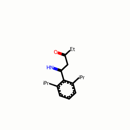 CCC(=O)CC(=N)c1c(C(C)C)cccc1C(C)C